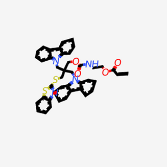 C=CC(=O)OCCNC(=O)OCC(CSc1nc2ccccc2s1)(Cn1c2ccccc2c2ccccc21)Cn1c2ccccc2c2ccccc21